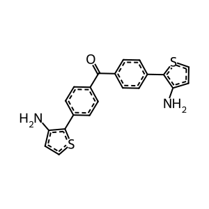 Nc1ccsc1-c1ccc(C(=O)c2ccc(-c3sccc3N)cc2)cc1